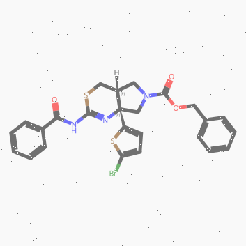 O=C(NC1=N[C@@]2(c3ccc(Br)s3)CN(C(=O)OCc3ccccc3)C[C@H]2CS1)c1ccccc1